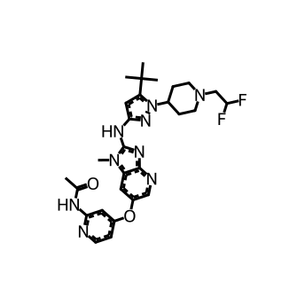 CC(=O)Nc1cc(Oc2cnc3nc(Nc4cc(C(C)(C)C)n(C5CCN(CC(F)F)CC5)n4)n(C)c3c2)ccn1